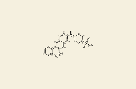 CCCS(=O)(=O)N1CCC(Nc2ncc3cc(-c4ccccc4Cl)c(O)cc3n2)CC1